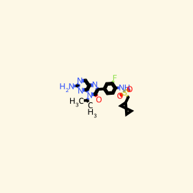 CC(C)n1c(=O)c(-c2ccc(NS(=O)(=O)CC3CC34CC4)c(F)c2)nc2cnc(N)nc21